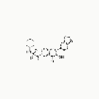 O=c1c(O)c(-c2ccc3c(c2)OCO3)oc2ccc(NS(=O)(=O)NC3CCCCC3)cc12